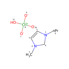 CCCN1C=CN(C)C1.[O-][Cl+3]([O-])([O-])O